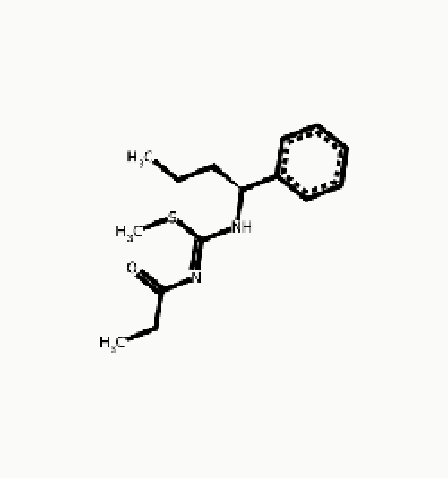 CCC[C@H](N/C(=N/C(=O)CC)SC)c1ccccc1